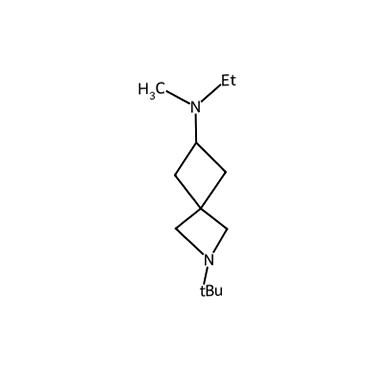 CCN(C)C1CC2(C1)CN(C(C)(C)C)C2